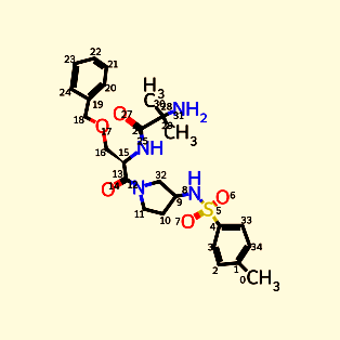 Cc1ccc(S(=O)(=O)NC2CCN(C(=O)[C@@H](COCc3ccccc3)NC(=O)C(C)(C)N)C2)cc1